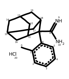 Cc1ccccc1C1(C(=N)N)C2CC3CC(C2)CC1C3.Cl